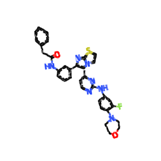 O=C(Cc1ccccc1)Nc1cccc(-c2nc3sccn3c2-c2ccnc(Nc3ccc(N4CCOCC4)c(F)c3)n2)c1